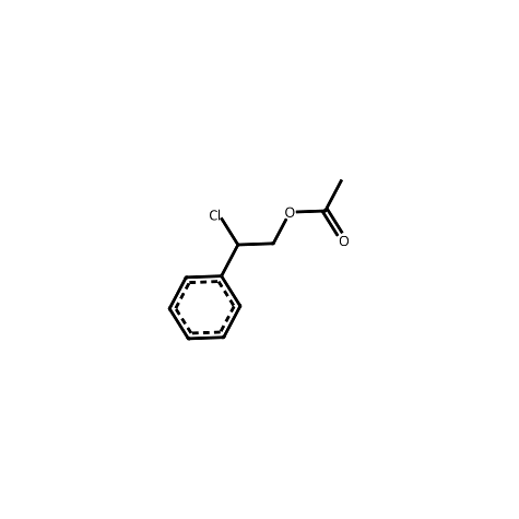 CC(=O)OCC(Cl)c1ccccc1